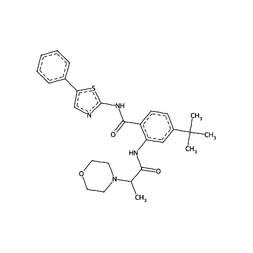 CC(C(=O)Nc1cc(C(C)(C)C)ccc1C(=O)Nc1ncc(-c2ccccc2)s1)N1CCOCC1